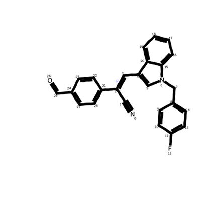 N#C/C(=C\c1cn(Cc2ccc(F)cc2)c2ccccc12)c1ccc(C=O)cc1